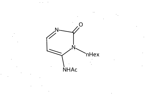 CCCCCCn1c(NC(C)=O)ccnc1=O